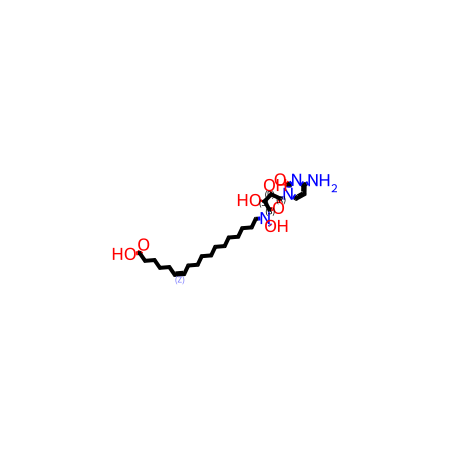 Nc1ccn([C@@H]2O[C@H](N(O)CCCCCCCCCCC/C=C\CCCCC(=O)O)[C@@H](O)[C@H]2O)c(=O)n1